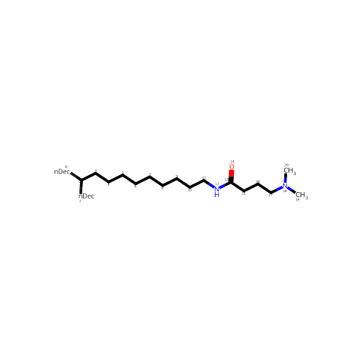 CCCCCCCCCCC(CCCCCCCCCC)CCCCCCCCCNC(=O)CCCN(C)C